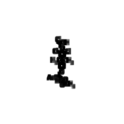 CC(=O)OC(CNS(C)(=O)=O)COc1ccc(C(C)(C)c2cc(Cl)c(OCC(O)CCl)c(Cl)c2)cc1